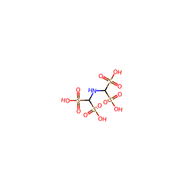 O=S(=O)(O)C(NC(S(=O)(=O)O)S(=O)(=O)O)S(=O)(=O)O